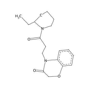 CCC1CCCCN1C(=O)CCN1C(=O)COc2ccccc21